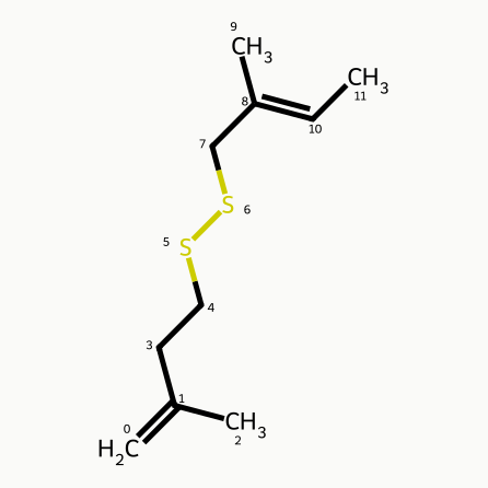 C=C(C)CCSSCC(C)=CC